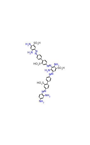 Nc1ccc(N=Nc2ccc(-c3ccc(N=Nc4cc(S(=O)(=O)O)c(N)c(N=Nc5ccc(-c6ccc(N=Nc7cc(S(=O)(=O)O)c(N)cc7N)cc6)c(S(=O)(=O)O)c5)c4N)cc3)c(S(=O)(=O)O)c2)c(N)c1